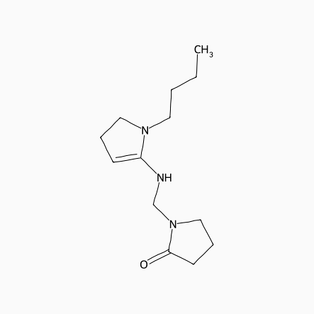 CCCCN1CCC=C1NCN1CCCC1=O